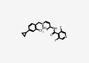 NN(/C=C\C(I)NC(=O)c1c(F)cncc1F)Cc1ccc(C2CC2)cc1C(F)(F)F